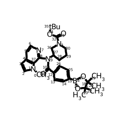 Cn1ccc2ccnc(N(C(=O)c3ccc(B4OC(C)(C)C(C)(C)O4)cc3)C3CCCN(C(=O)OC(C)(C)C)C3)c21